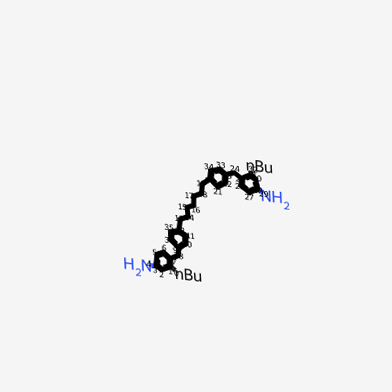 CCCCc1cc(N)ccc1Cc1ccc(CCCCCCCc2ccc(Cc3ccc(N)cc3CCCC)cc2)cc1